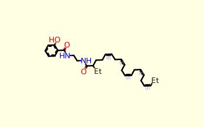 CC/C=C\C/C=C\C/C=C\C/C=C\C/C=C\CCC(CC)C(=O)NCCNC(=O)c1ccccc1O